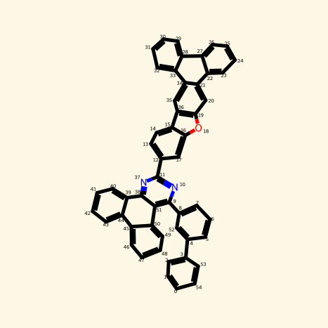 c1ccc(-c2cccc(-c3nc(-c4ccc5c(c4)oc4cc6c7ccccc7c7ccccc7c6cc45)nc4c5ccccc5c5ccccc5c34)c2)cc1